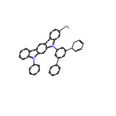 Cc1ccc2c3cc4c5ccccc5n(-c5ccccc5)c4cc3n(-c3cc(-c4ccccc4)cc(C4C=CC=CC4)c3)c2c1